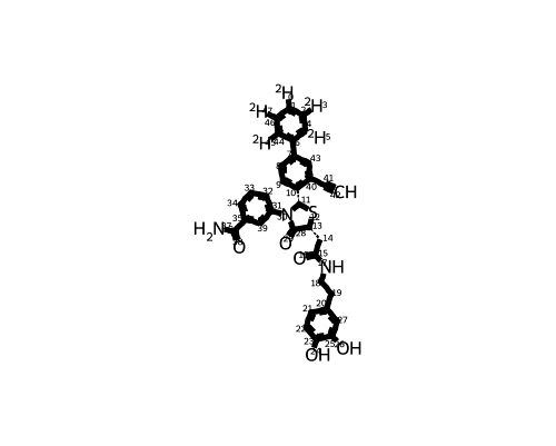 [2H]c1c([2H])c([2H])c(-c2ccc([C@@H]3S[C@H](CC(=O)NCCc4ccc(O)c(O)c4)C(=O)N3c3cccc(C(N)=O)c3)c(C#C)c2)c([2H])c1[2H]